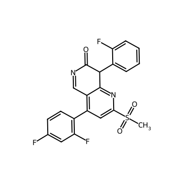 CS(=O)(=O)c1cc(-c2ccc(F)cc2F)c2c(n1)C(c1ccccc1F)C(=O)N=C2